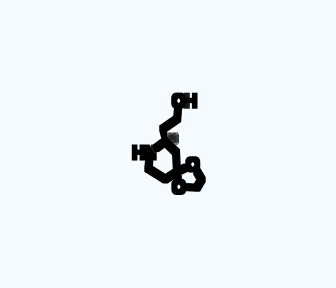 OCC[C@H]1CC2(CCN1)OCCO2